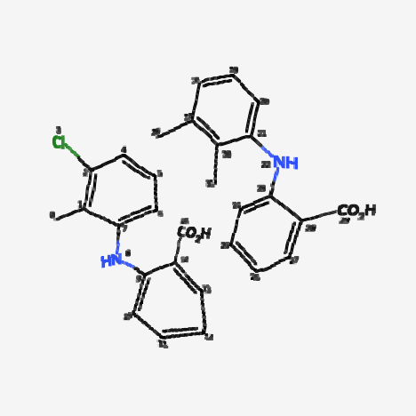 Cc1c(Cl)cccc1Nc1ccccc1C(=O)O.Cc1cccc(Nc2ccccc2C(=O)O)c1C